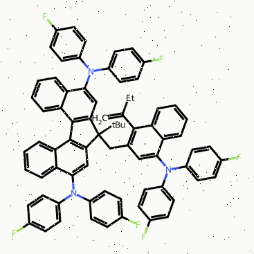 C=C(CC)c1c(CC2(C(C)(C)C)c3cc(N(c4ccc(F)cc4)c4ccc(F)cc4)c4ccccc4c3-c3c2cc(N(c2ccc(F)cc2)c2ccc(F)cc2)c2ccccc32)cc(N(c2ccc(F)cc2)c2ccc(F)cc2)c2ccccc12